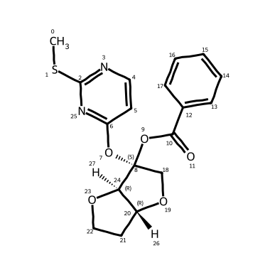 CSc1nccc(O[C@]2(OC(=O)c3ccccc3)CO[C@@H]3CCO[C@H]32)n1